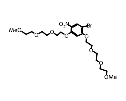 COCCOCCOCCOc1cc(OCCOCCOCCOC)c([N+](=O)[O-])cc1Br